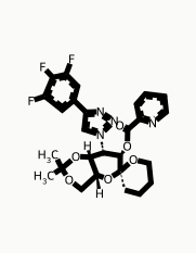 CC1(C)OC[C@H]2O[C@@]3(CCCCO3)[C@H](OC(=O)c3ccccn3)[C@@H](n3cc(-c4cc(F)c(F)c(F)c4)nn3)[C@H]2O1